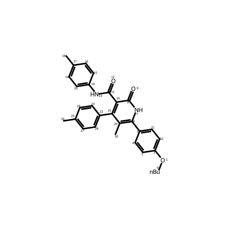 CCCCOc1ccc(-c2[nH]c(=O)c(C(=O)Nc3ccc(C)cc3)c(-c3ccc(C)cc3)c2C)cc1